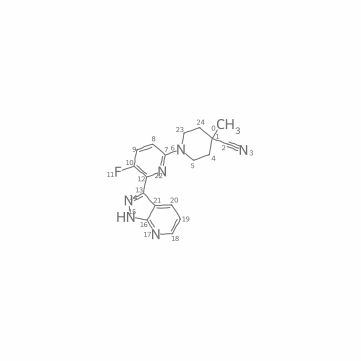 CC1(C#N)CCN(c2ccc(F)c(-c3n[nH]c4ncccc34)n2)CC1